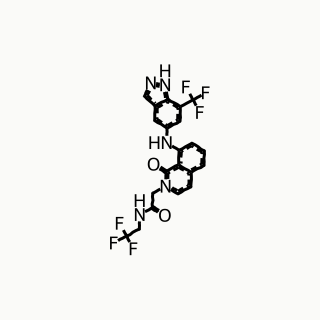 O=C(Cn1ccc2cccc(Nc3cc(C(F)(F)F)c4[nH]ncc4c3)c2c1=O)NCC(F)(F)F